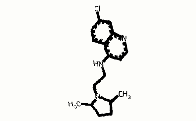 CC1CCC(C)N1CCNc1ccnc2cc(Cl)ccc12